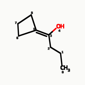 CCCC(O)=C1CCC1